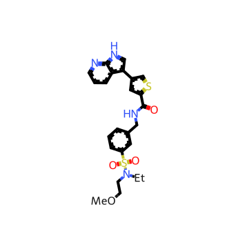 CCN(CCOC)S(=O)(=O)c1cccc(CNC(=O)c2cc(-c3c[nH]c4ncccc34)cs2)c1